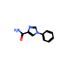 NC(=O)c1cn(-c2ccccc2)cn1